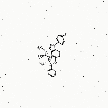 C=C(CC)N[C@@H](C)[C@H](Oc1ccc2c(cnn2-c2ccc(F)cc2)c1)c1ccccc1